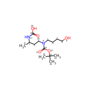 CC(CCN(CCCCO)C(=O)OC(C)(C)C)NC(=O)O